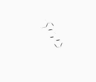 O=C(Nc1ccc([N+](=O)[O-])c([N+](=O)[O-])c1)c1ccc(Cl)cc1